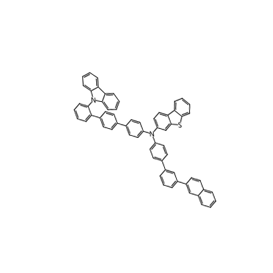 c1cc(-c2ccc(N(c3ccc(-c4ccc(-c5ccccc5-n5c6ccccc6c6ccccc65)cc4)cc3)c3ccc4c(c3)sc3ccccc34)cc2)cc(-c2ccc3ccccc3c2)c1